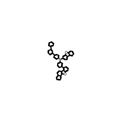 c1ccc(-c2cccc(-c3ccc(N(c4cccc(-c5cccc6oc7c8ccccc8ccc7c56)c4)c4ccc5c(c4)oc4ccccc45)cc3)c2)cc1